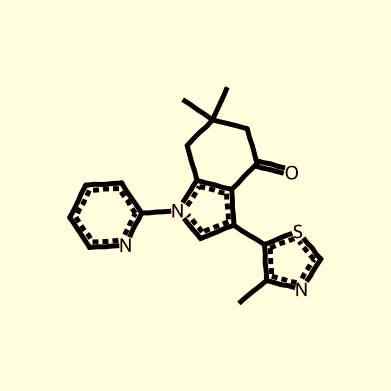 Cc1ncsc1-c1cn(-c2ccccn2)c2c1C(=O)CC(C)(C)C2